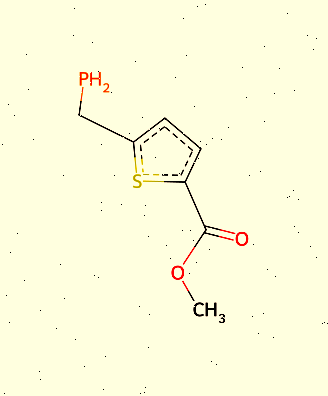 COC(=O)c1ccc(CP)s1